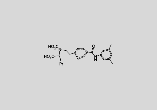 Cc1cc(C)cc(NC(=O)c2ccc(CCN(C(=O)O)C(CC(C)C)C(=O)O)cc2)c1